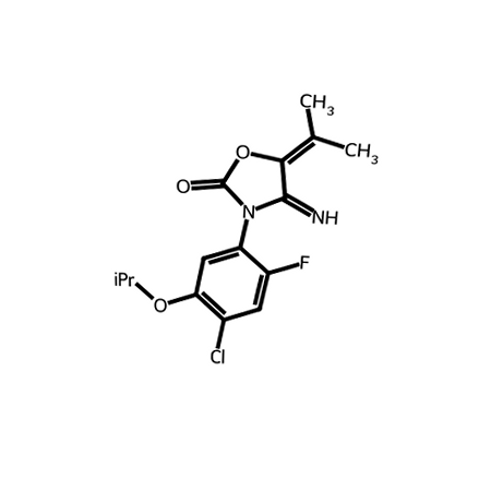 CC(C)=C1OC(=O)N(c2cc(OC(C)C)c(Cl)cc2F)C1=N